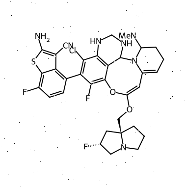 CNC1CCC=C2C=C(OC[C@@]34CCCN3C[C@H](F)C4)Oc3c(F)c(-c4ccc(F)c5sc(N)c(C#N)c45)c(Cl)c4c3C(NCN4)N21